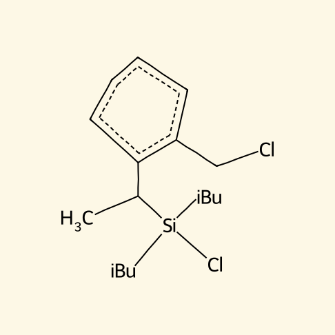 CCC(C)[Si](Cl)(C(C)CC)C(C)c1ccccc1CCl